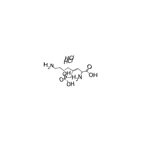 Cl.Cl.NCCCCC(=CC(N)C(=O)O)CP(=O)(O)O